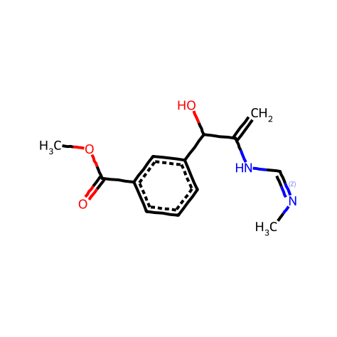 C=C(N/C=N\C)C(O)c1cccc(C(=O)OC)c1